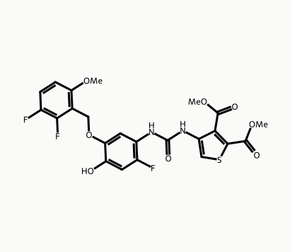 COC(=O)c1scc(NC(=O)Nc2cc(OCc3c(OC)ccc(F)c3F)c(O)cc2F)c1C(=O)OC